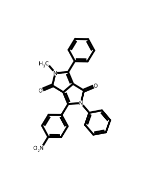 CN1C(=O)C2=C(c3ccc([N+](=O)[O-])cc3)N(c3ccccc3)C(=O)C2=C1c1ccccc1